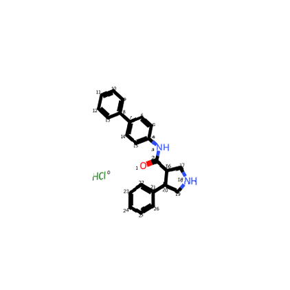 Cl.O=C(Nc1ccc(-c2ccccc2)cc1)C1CNCC1c1ccccc1